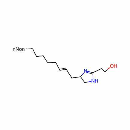 CCCCCCCCCCCCCCC=CCC1CNC(CCO)=N1